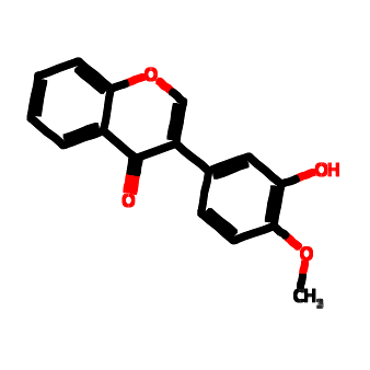 COc1ccc(-c2coc3ccccc3c2=O)cc1O